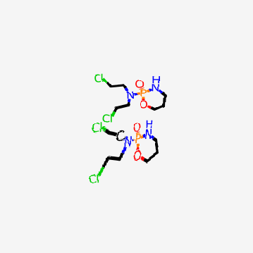 O=P1(N(CCCl)CCCl)NCCCO1.O=[P@@]1(N(CCCl)CCCl)NCCCO1